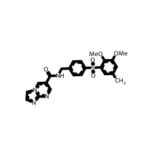 COc1cc(C)cc(S(=O)(=O)c2ccc(CNC(=O)c3cnc4nccn4c3)cc2)c1OC